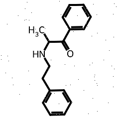 CC(NCCc1ccccc1)C(=O)c1ccccc1